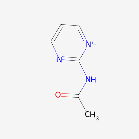 CC(=O)NC1=NC=CC=[N+]1